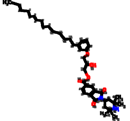 CCCCCCCCCCCCCCCc1cccc(OCC(O)COC(=O)c2ccc3c(c2)C(=O)N(C2CC(C)(C)NC(C)(C)C2)C3=O)c1